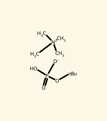 CCCCOP(=O)([O-])O.C[N+](C)(C)C